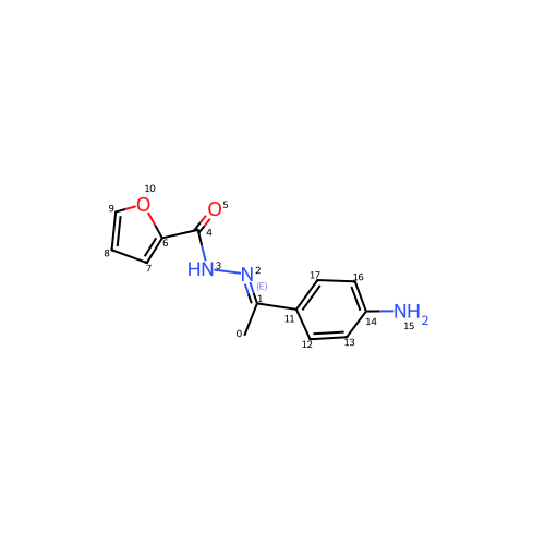 C/C(=N\NC(=O)c1ccco1)c1ccc(N)cc1